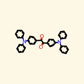 O=C(C(=O)c1ccc(N(c2ccccc2)c2ccccc2)cc1)c1ccc(N(c2ccccc2)c2ccccc2)cc1